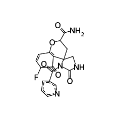 NC(=O)C1CC2(CNC(=O)N2C(=O)c2cccnc2)C2=C(C=CC(F)C2=O)O1